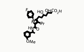 COc1cccc(C(C)NC(=O)c2nn(-c3ccc(F)cc3)c(CC[C@@H](O)C[C@@H](O)CC(=O)O)c2C(C)C)c1